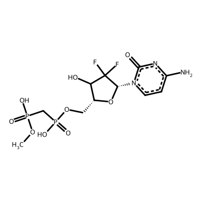 COP(=O)(O)CP(=O)(O)OC[C@H]1O[C@@H](n2ccc(N)nc2=O)C(F)(F)C1O